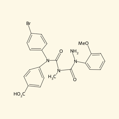 COc1ccccc1N(N)C(=O)N(C)C(=O)N(c1ccc(Br)cc1)c1ccc(C(=O)O)cc1